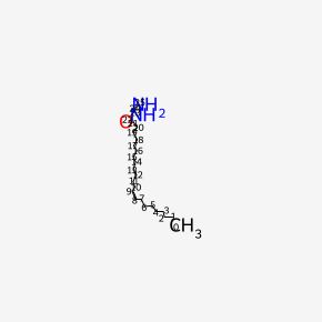 CCCCCCCC/C=C\CCCCCCCCCCCC(=O)NCN